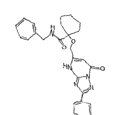 O=C(NCc1ccccc1)C1(OCc2cc(=O)n3nc(-c4ccccc4)nc3[nH]2)CCCCC1